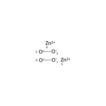 [O-][O-].[O-][O-].[Zn+2].[Zn+2]